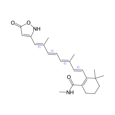 CNC(=O)C1=C(/C=C/C(C)=C/C=C/C(C)=C/c2cc(=O)o[nH]2)C(C)(C)CCC1